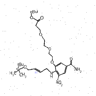 CC(C)(C)OC(=O)CCOCCOCCOc1cc(C(N)=O)cc([N+](=O)[O-])c1NC/C=C/CO[Si](C)(C)C(C)(C)C